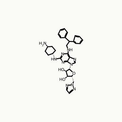 N[C@H]1CC[C@H](Nc2nc(NCC(c3ccccc3)c3ccccc3)c3ncn([C@@H]4O[C@H](Cn5nccn5)[C@@H](O)[C@H]4O)c3n2)CC1